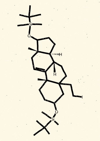 CC(C)(C)[Si](C)(C)OC1CC[C@]2(C)C3=CC[C@]4(C)C(O[Si](C)(C)C(C)(C)C)CC[C@H]4[C@@H]3CCC2(CCI)C1